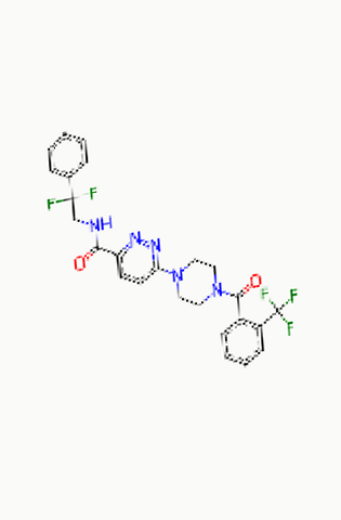 O=C(NCC(F)(F)c1ccccc1)c1ccc(N2CCN(C(=O)c3ccccc3C(F)(F)F)CC2)nn1